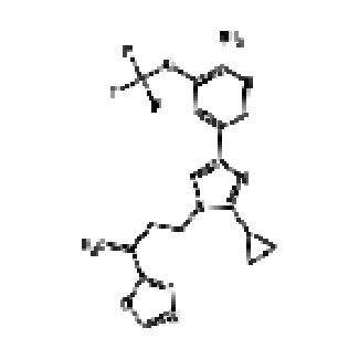 C=C(CCn1cc(-c2cnc(N)c(OC(F)(F)F)c2)nc1C1CC1)c1cnco1